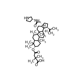 C=C(C)[C@@H]1CC[C@]2(CC(=O)N[C@@H]3CCNC3)CC[C@]3(C)[C@H](CCC4[C@@]5(C)CC[C@H](OC(=O)CC(C)(C)C(=O)O)C(C)(C)C5CC[C@]43C)[C@@H]12